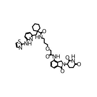 O=C1CCC(N2Cc3c(NC(=O)COCCCNC(=O)C4(Cc5cccc(Nc6nccs6)n5)CCCCC4)cccc3C2=O)C(=O)N1